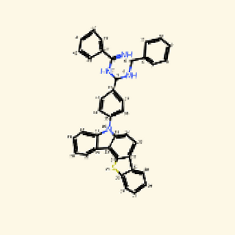 N=C(NC(NCc1ccccc1)c1ccc(-n2c3ccccc3c3c4sc5ccccc5c4ccc32)cc1)c1ccccc1